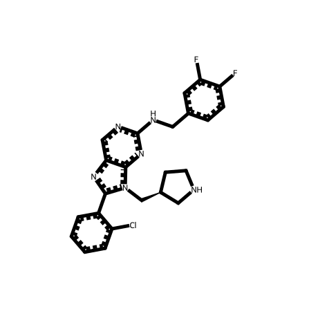 Fc1ccc(CNc2ncc3nc(-c4ccccc4Cl)n(C[C@H]4CCNC4)c3n2)cc1F